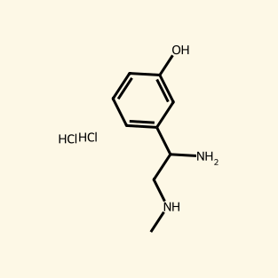 CNCC(N)c1cccc(O)c1.Cl.Cl